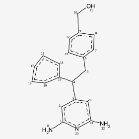 Nc1cc(C(Cc2ccc(CO)cc2)c2ccccc2)cc(N)n1